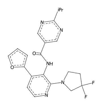 CC(C)c1ncc(C(=O)Nc2c(-c3ccco3)ccnc2N2CCC(F)(F)C2)cn1